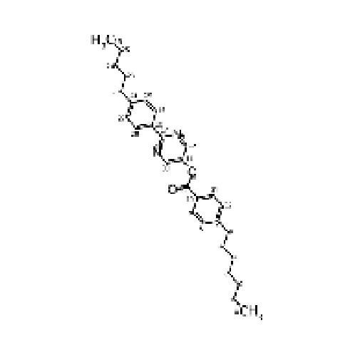 CCCCCCCc1ccc(C(=O)Oc2cnc(-c3ccc(CCCCC)cc3)nc2)cc1